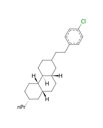 CCC[C@@H]1CC[C@H]2[C@H](CC[C@H]3CC(CCc4ccc(Cl)cc4)CC[C@@H]32)C1